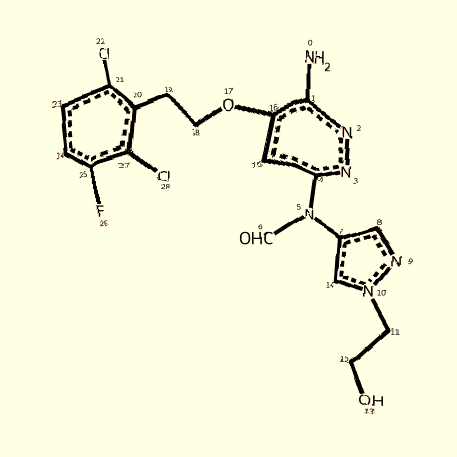 Nc1nnc(N(C=O)c2cnn(CCO)c2)cc1OCCc1c(Cl)ccc(F)c1Cl